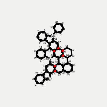 c1ccc(-n2c3ccccc3c3c(-c4ccccc4N(c4ccc5oc6ccccc6c5c4)c4ccccc4-c4cccc5cccc(C6CCCCC6)c45)cccc32)cc1